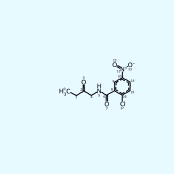 CCC(=O)CNC(=O)c1cc([N+](=O)[O-])ccc1Cl